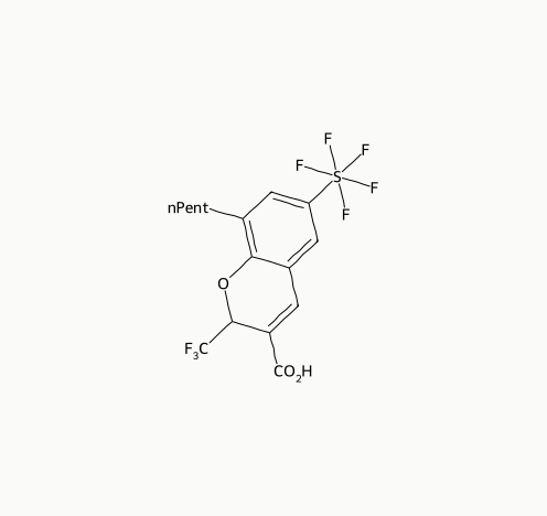 CCCCCc1cc(S(F)(F)(F)(F)F)cc2c1OC(C(F)(F)F)C(C(=O)O)=C2